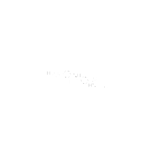 O=C(NC1CCOCC1)c1ccc(SNc2cc(F)c(C(=O)O)cc2F)cc1